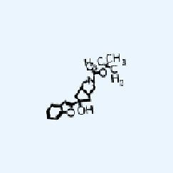 CC(C)(C)OC(=O)N1CC2CC(O)(c3cc4ccccc4o3)CC2C1